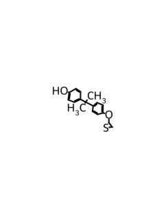 CC(C)(c1ccc(O)cc1)c1ccc(OC2CS2)cc1